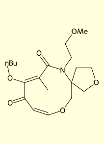 CCCCO/C1=C(/C)C(=O)N(CCOC)C2(CCOC2)CO/C=C\C1=O